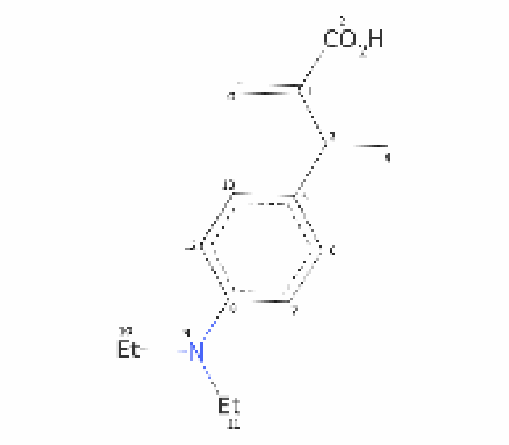 C=C(C(=O)O)C(C)c1ccc(N(CC)CC)cc1